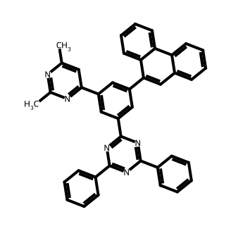 Cc1cc(-c2cc(-c3nc(-c4ccccc4)nc(-c4ccccc4)n3)cc(-c3cc4ccccc4c4ccccc34)c2)nc(C)n1